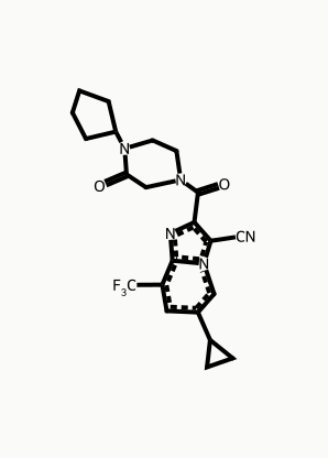 N#Cc1c(C(=O)N2CCN(C3CCCC3)C(=O)C2)nc2c(C(F)(F)F)cc(C3CC3)cn12